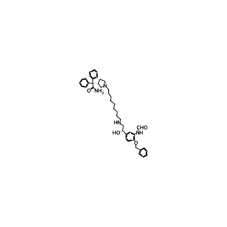 NC(=O)C(c1ccccc1)(c1ccccc1)[C@@H]1CCN(CCCCCCCCCNC[C@@H](O)c2ccc(OCc3ccccc3)c(NC=O)c2)C1